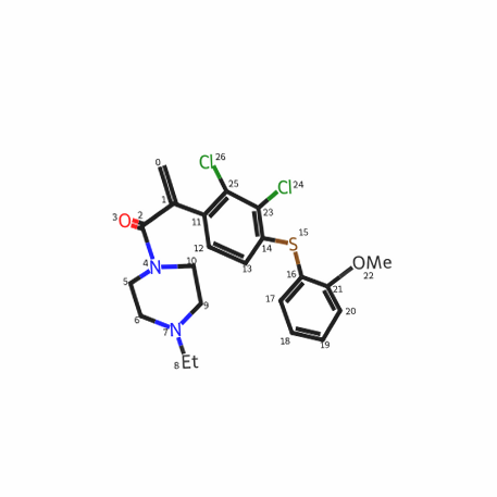 C=C(C(=O)N1CCN(CC)CC1)c1ccc(Sc2ccccc2OC)c(Cl)c1Cl